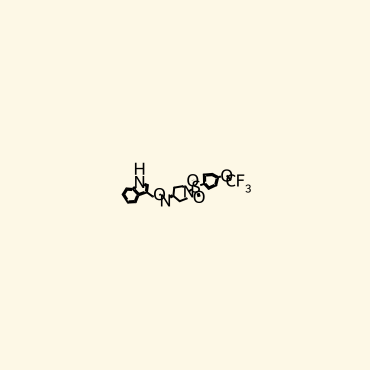 O=S(=O)(c1ccc(OC(F)(F)F)cc1)N1CCC(=NOCc2c[nH]c3ccccc23)CC1